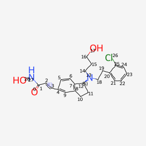 O=C(/C=C/c1ccc2c(c1)CC[C@@H]2N(CCCO)CCc1ccccc1Cl)NO